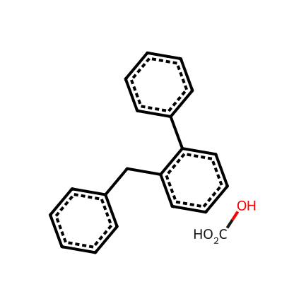 O=C(O)O.c1ccc(Cc2ccccc2-c2ccccc2)cc1